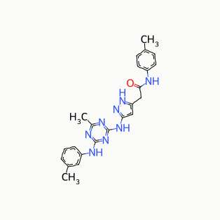 Cc1ccc(NC(=O)Cc2cc(Nc3nc(C)nc(Nc4cccc(C)c4)n3)n[nH]2)cc1